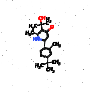 Cc1cc(C(C)(C)C)ccc1-c1cc(=O)c(C(C)(C)O)c(C)[nH]1